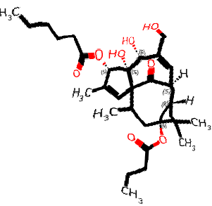 CCCCCC(=O)O[C@H]1C(C)=CC23C(=O)[C@@H](C=C(CO)[C@@H](O)[C@]12O)[C@@H]1C(C)(C)[C@]1(OC(=O)CCC)CC3C